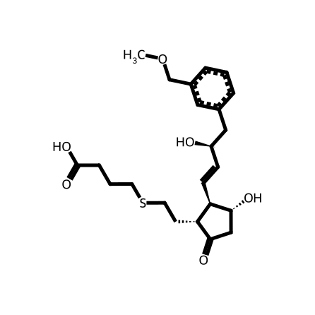 COCc1cccc(C[C@H](O)C=C[C@H]2[C@H](O)CC(=O)[C@@H]2CCSCCCC(=O)O)c1